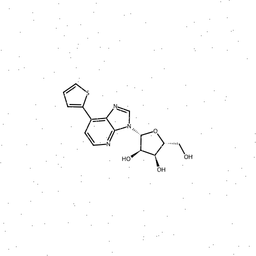 OC[C@H]1O[C@@H](n2cnc3c(-c4cccs4)ccnc32)[C@H](O)[C@@H]1O